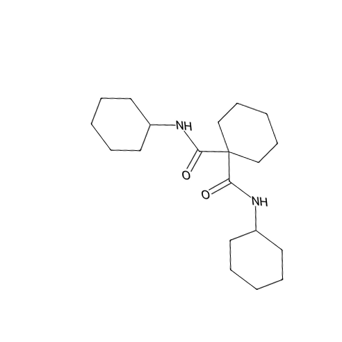 O=C(NC1CCCCC1)C1(C(=O)NC2CCCCC2)CCCCC1